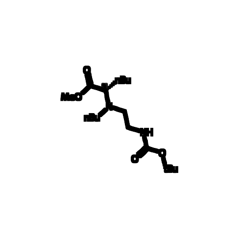 CCCC[C@@H](C(=O)OC)N(CCCC)CCNC(=O)OC(C)(C)C